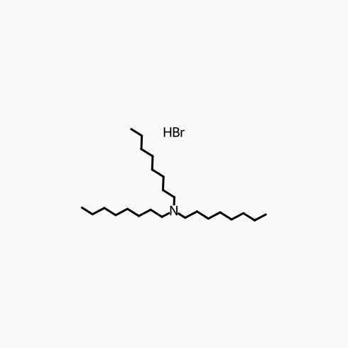 Br.CCCCCCCCN(CCCCCCCC)CCCCCCCC